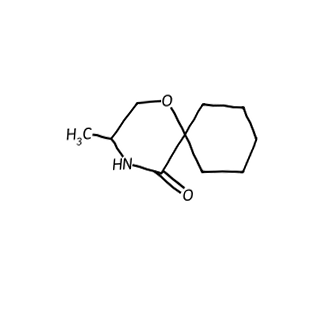 CC1COC2(CCCCC2)C(=O)N1